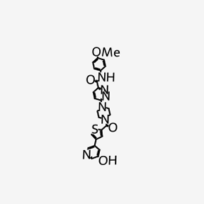 COc1ccc(NC(=O)c2ccc(N3CCN(C(=O)c4cc(-c5cncc(O)c5)cs4)CC3)nn2)cc1